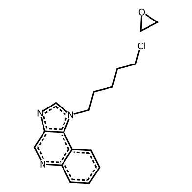 C1CO1.ClCCCCCn1cnc2cnc3ccccc3c21